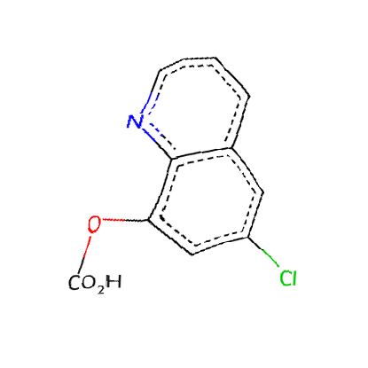 O=C(O)Oc1cc(Cl)cc2cccnc12